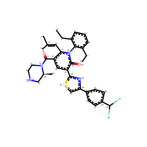 CCc1cccc(CC)c1-n1c(C=C(C)C)c(C(=O)N2CCNC[C@@H]2C)cc(-c2nc(-c3ccc(C(F)F)cc3)cs2)c1=O